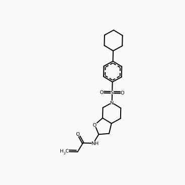 C=CC(=O)NC1CC2CCN(S(=O)(=O)c3ccc(C4CCCCC4)cc3)CC2O1